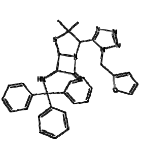 CC1(C)SC2C(NC(c3ccccc3)(c3ccccc3)c3ccccc3)C(=O)N2C1c1nnnn1Cc1ccco1